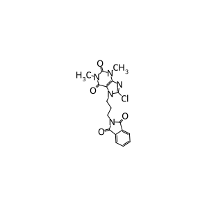 Cn1c(=O)c2c(nc(Cl)n2CCCN2C(=O)c3ccccc3C2=O)n(C)c1=O